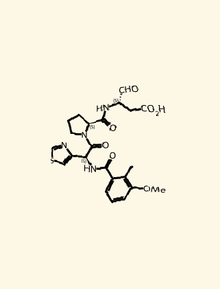 COc1cccc(C(=O)N[C@H](C(=O)N2CCC[C@H]2C(=O)N[C@H](C=O)CC(=O)O)c2cscn2)c1C